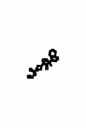 CCC(C)(NC(=O)C1CN(C(=O)OC(C)(C)C)C1)c1cnc2ccccn12